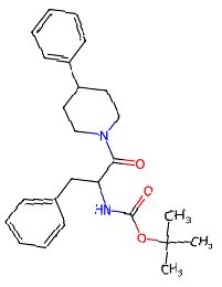 CC(C)(C)OC(=O)NC(Cc1ccccc1)C(=O)N1CCC(c2ccccc2)CC1